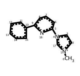 C[n+]1ccn(-c2cccc(-c3ccccc3)n2)c1